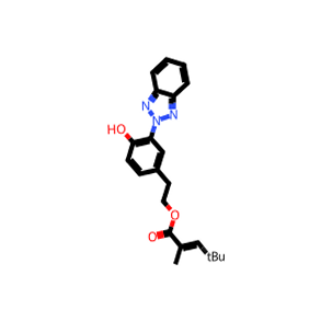 CC(=CC(C)(C)C)C(=O)OCCc1ccc(O)c(-n2nc3ccccc3n2)c1